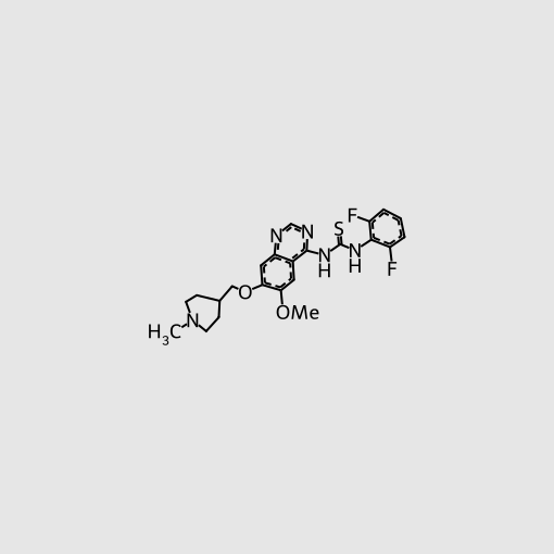 COc1cc2c(NC(=S)Nc3c(F)cccc3F)ncnc2cc1OCC1CCN(C)CC1